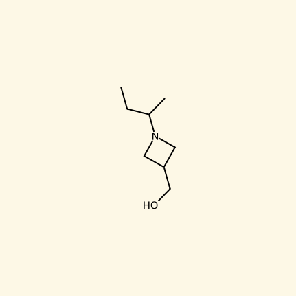 CCC(C)N1CC(CO)C1